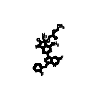 CCOC(=O)COC1(C)C(=O)Nc2nc(-c3nn(Cc4ccccc4F)c4ncc(F)cc34)nc(N)c21